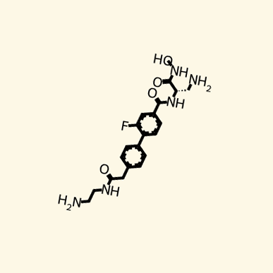 NCCNC(=O)Cc1ccc(-c2ccc(C(=O)N[C@@H](CN)C(=O)NO)cc2F)cc1